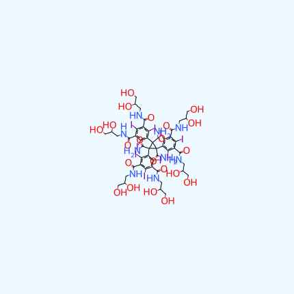 NC(=O)C1(c2c(I)c(C(=O)NCC(O)CO)c(I)c(C(=O)NCC(O)CO)c2I)C(C(N)=O)(c2c(I)c(C(=O)NCC(O)CO)c(I)c(C(=O)NCC(O)CO)c2I)C1(C(N)=O)c1c(I)c(C(=O)NCC(O)CO)c(I)c(C(=O)NCC(O)CO)c1I